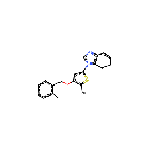 Cc1ccccc1COc1cc(-n2cnc3c2CCC=C3)sc1C#N